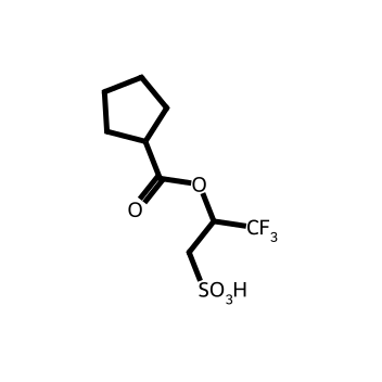 O=C(OC(CS(=O)(=O)O)C(F)(F)F)C1CCCC1